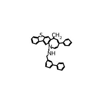 C=C1/C=C(c2ccccc2)\C=C/N(CNCc2cccc(-c3ccccc3)c2)c2cc3c(cc21)sc1ccccc13